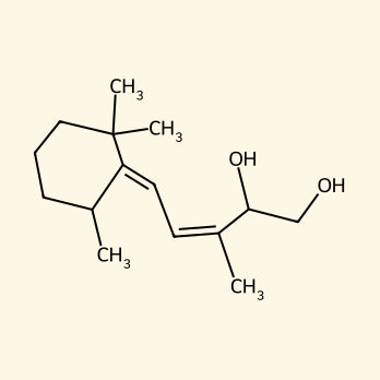 CC(=CC=C1C(C)CCCC1(C)C)C(O)CO